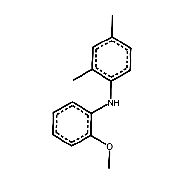 COc1ccccc1Nc1ccc(C)cc1C